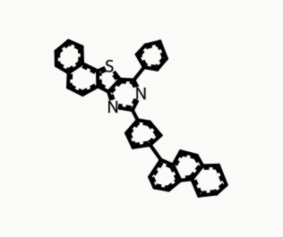 c1ccc(-c2nc(-c3ccc(-c4cccc5c4ccc4ccccc45)cc3)nc3c2sc2c4ccccc4ccc32)cc1